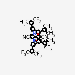 Cc1cc(C)cc(-c2ccc3c(c2)c2cc(-c4cc(C)cc(C(F)(F)F)c4)ccc2n3-c2cc(C#N)cc(-n3c4ccc(-c5cc(C)cc(C(F)(F)F)c5)cc4c4cc(-c5cc(C(F)(F)F)cc(C(F)(F)F)c5)ccc43)c2-c2ccc(C#N)cc2C)c1